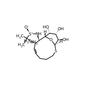 C[C@@H]1C=CCCCS[C@H]2O[C@@H]([C@H](O)[C@H](O)[C@H]2O)[C@@H]1N[S@+]([O-])C(C)(C)C